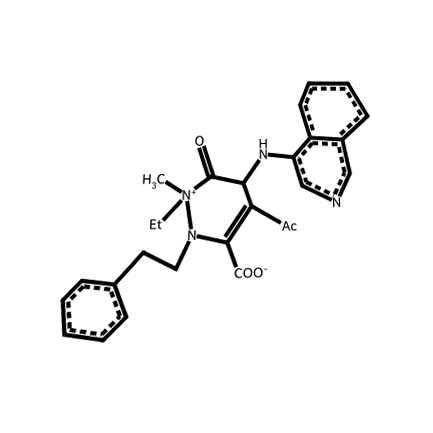 CC[N+]1(C)C(=O)C(Nc2cncc3ccccc23)C(C(C)=O)=C(C(=O)[O-])N1CCc1ccccc1